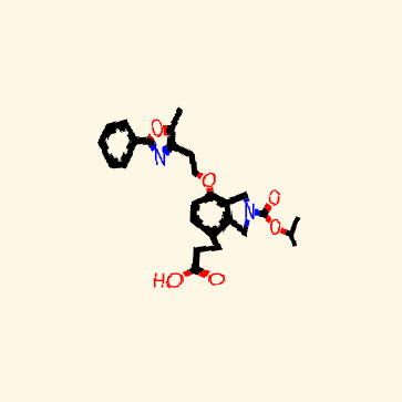 Cc1oc(-c2ccccc2)nc1CCOc1ccc(CCC(=O)O)c2c1CN(C(=O)OC(C)C)C2